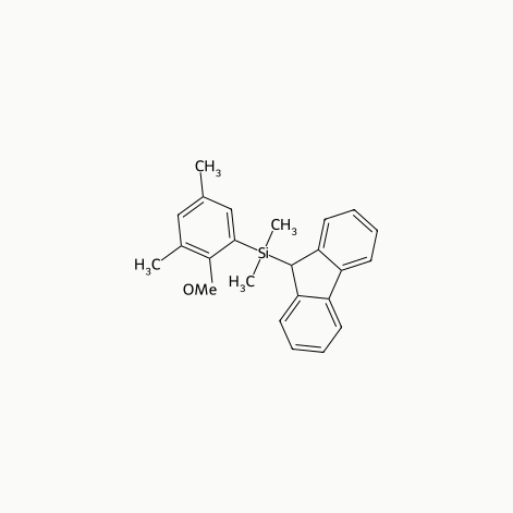 COc1c(C)cc(C)cc1[Si](C)(C)C1c2ccccc2-c2ccccc21